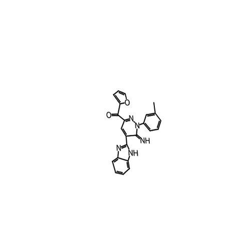 Cc1cccc(-n2nc(C(=O)c3ccco3)cc(-c3nc4ccccc4[nH]3)c2=N)c1